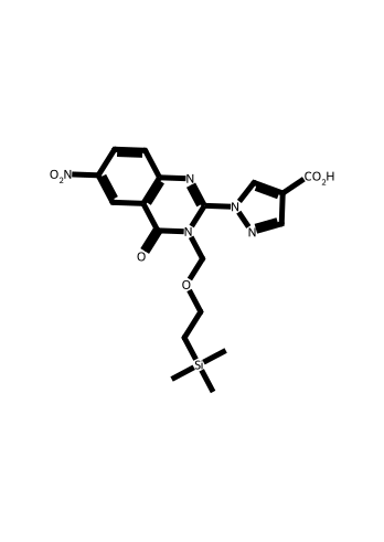 C[Si](C)(C)CCOCn1c(-n2cc(C(=O)O)cn2)nc2ccc([N+](=O)[O-])cc2c1=O